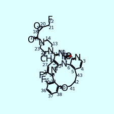 CC(C)c1nccc2c1-n1c(=O)nc(N3CCN(C(=O)C4OC4CF)C[C@@H]3C)c3cc(F)c(nc31)-c1c(F)cccc1OCCC2